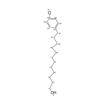 OCCCCCCCCCCCCc1ccc(Cl)cc1